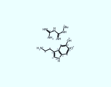 CCCCNC(=N)NC(=N)N.Cl.NCCc1c[nH]c2ccc(O)cc12